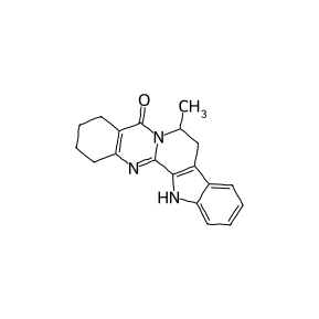 CC1Cc2c([nH]c3ccccc23)-c2nc3c(c(=O)n21)CCCC3